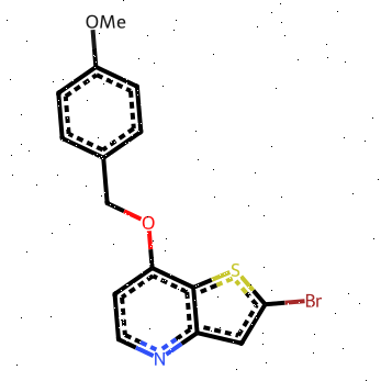 COc1ccc(COc2ccnc3cc(Br)sc23)cc1